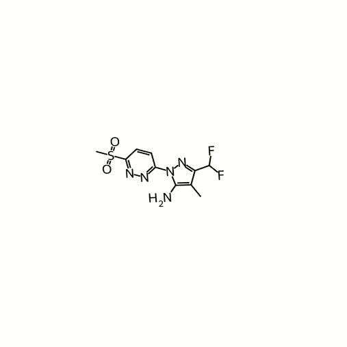 Cc1c(C(F)F)nn(-c2ccc(S(C)(=O)=O)nn2)c1N